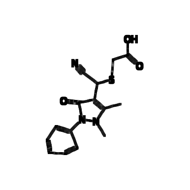 Cc1c(C(C#N)SCC(=O)O)c(=O)n(-c2ccccc2)n1C